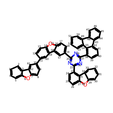 c1ccc2c(c1)oc1ccc(-c3ccc4oc5ccc(-c6nc(-c7cccc8oc9ccccc9c78)nc(-c7cccc8c9ccccc9c9ccccc9c78)n6)cc5c4c3)cc12